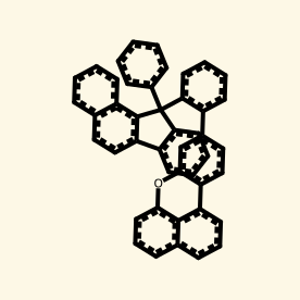 c1ccc(C2(c3ccccc3-c3ccc4c(c3)Oc3cccc5cccc-4c35)c3ccccc3-c3ccc4ccccc4c32)cc1